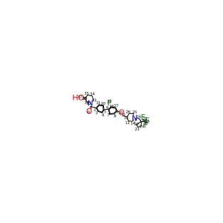 O=C(c1ccc(-c2ccc(OCC3CCN(CC4(C(F)(F)F)CCC4)CC3)cc2F)cc1)N1CCC[C@H](O)C1